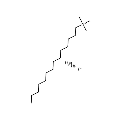 CCCCCCCCCCCCCC[N+](C)(C)C.F.N.[F-]